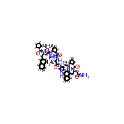 CC(=O)N[C@H]1CCC[C@@H]1C(=O)N[C@H](CC(=O)N[C@H]1CCC[C@@H]1C(=O)NC[C@H](C)C(=O)N[C@H]1CNC[C@@H]1C(=O)N[C@H]1CCC[C@@H]1C(=O)N[C@H](CC(N)=O)Cc1cccc2ccccc12)Cc1ccc2ccccc2c1